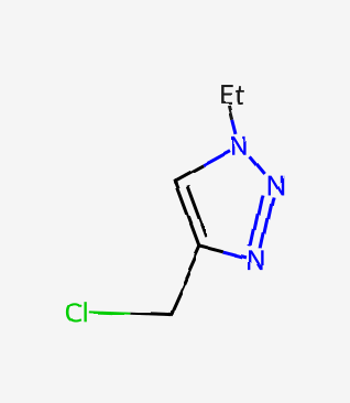 CCn1cc(CCl)nn1